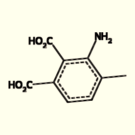 Cc1ccc(C(=O)O)c(C(=O)O)c1N